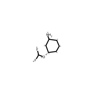 NC1CCC[C@H](OC(F)F)C1